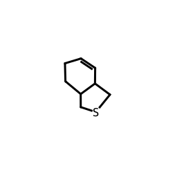 C1=CC2CSCC2CC1